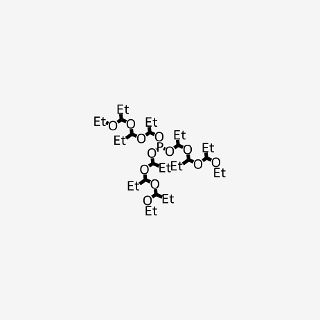 CCOC(CC)OC(CC)OC(CC)OP(OC(CC)OC(CC)OC(CC)OCC)OC(CC)OC(CC)OC(CC)OCC